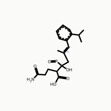 C/C(=C\c1ccccc1C(C)C)CC(O)(P=O)C(CCC(N)=O)C(=O)O